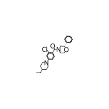 CCC1CCN(c2ccc(C(=O)N3CCO[C@@H](c4ccccc4)C3)c(Cl)c2)CC1